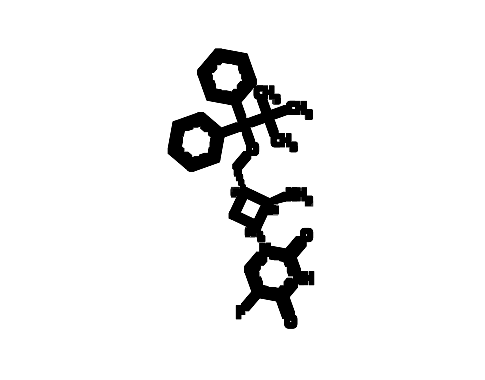 CC(C)(C)[Si](OC[C@H]1C[C@@H](n2cc(F)c(=O)[nH]c2=O)[C@@H]1N)(c1ccccc1)c1ccccc1